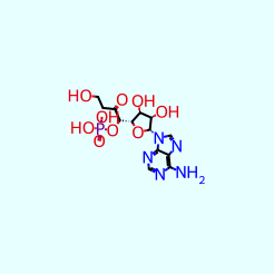 Nc1ncnc2c1ncn2[C@@H]1O[C@H](C(OP(=O)(O)O)C(=O)CCO)[C@@H](O)[C@H]1O